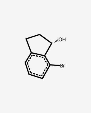 O[C@H]1CCc2cccc(Br)c21